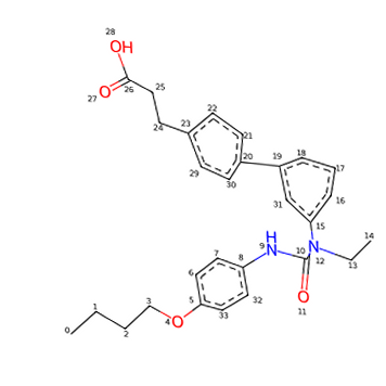 CCCCOc1ccc(NC(=O)N(CC)c2cccc(-c3ccc(CCC(=O)O)cc3)c2)cc1